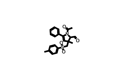 CC(=O)N1C(c2ccccc2)=CC(C)(CS(=O)(=O)c2ccc(C)cc2)C1C=O